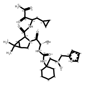 CC1(C)C2CN(C(=O)[C@@H](NC(=O)NC3(C[S+]([O-])Cc4ccco4)CCCCC3)C(C)(C)C)C(C(=O)NC(CC3CC3)C(=O)C(N)=O)C21